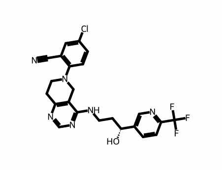 N#Cc1cc(Cl)ccc1N1CCc2ncnc(NCC[C@@H](O)c3ccc(C(F)(F)F)nc3)c2C1